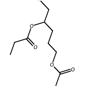 [CH2]CC(CCCOC(C)=O)OC(=O)CC